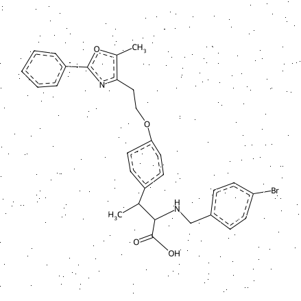 Cc1oc(-c2ccccc2)nc1CCOc1ccc(C(C)C(NCc2ccc(Br)cc2)C(=O)O)cc1